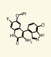 CC(C)Oc1cc2c(-c3ccc(Cl)c4[nH]ncc34)c(N)c(=O)[nH]c2cc1F